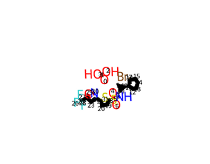 O=C(O)O.O=S(=O)(N[C@H]1C[C@@H]1c1ccccc1Br)c1ccc(-c2cc(C(F)(F)F)on2)s1